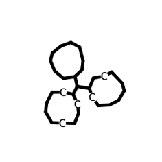 C1CCCCC(C(C2CCCCCCCCC2)C2CCCCCCCCC2)CCCC1